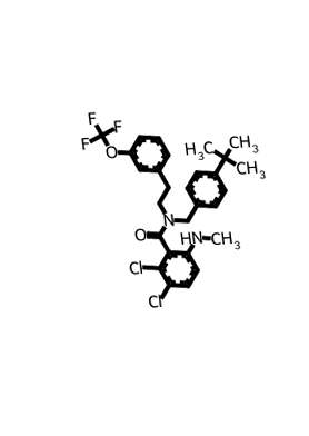 CNc1ccc(Cl)c(Cl)c1C(=O)N(CCc1cccc(OC(F)(F)F)c1)Cc1ccc(C(C)(C)C)cc1